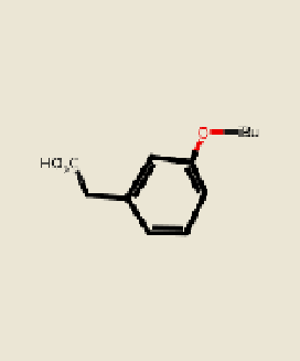 CCC(C)Oc1cccc(CC(=O)O)c1